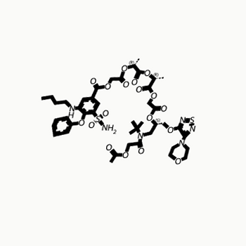 CCCCNc1cc(C(=O)OCC(=O)O[C@H](C)C(=O)O[C@H](C)C(=O)OCC(=O)O[C@H](COc2nsnc2N2CCOCC2)CN(C(=O)COC(C)=O)C(C)(C)C)cc(S(N)(=O)=O)c1Oc1ccccc1